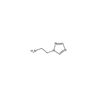 NCCn1cncn1